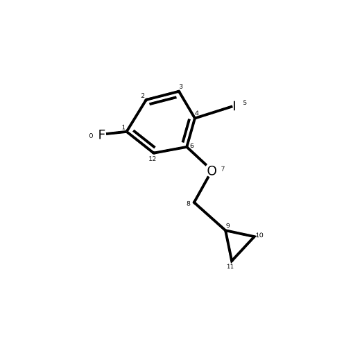 Fc1ccc(I)c(OCC2CC2)c1